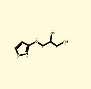 OCC(O)COc1ccon1